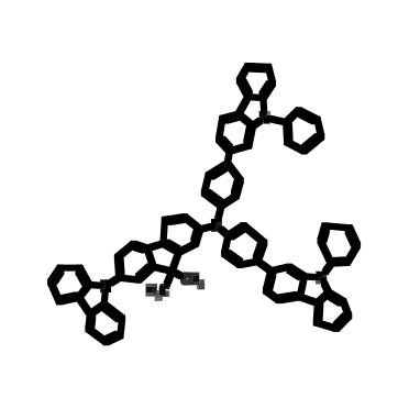 CC1(C)c2cc(N(c3ccc(-c4ccc5c6ccccc6n(-c6ccccc6)c5c4)cc3)c3ccc(-c4ccc5c6ccccc6n(-c6ccccc6)c5c4)cc3)ccc2-c2ccc(-n3c4ccccc4c4ccccc43)cc21